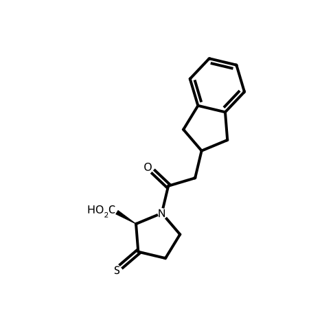 O=C(O)[C@@H]1C(=S)CCN1C(=O)CC1Cc2ccccc2C1